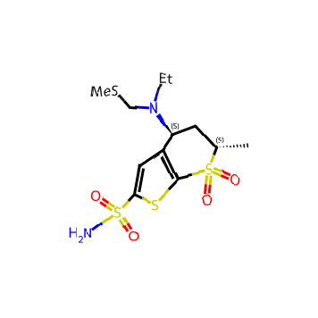 CCN(CSC)[C@H]1C[C@H](C)S(=O)(=O)c2sc(S(N)(=O)=O)cc21